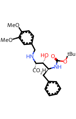 COc1ccc(CN[C@@H](C(=O)O)[C@H](O)[C@H](Cc2ccccc2)NC(=O)OC(C)(C)C)cc1OC